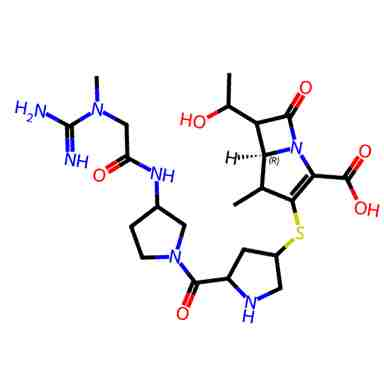 CC(O)C1C(=O)N2C(C(=O)O)=C(SC3CNC(C(=O)N4CCC(NC(=O)CN(C)C(=N)N)C4)C3)C(C)[C@@H]12